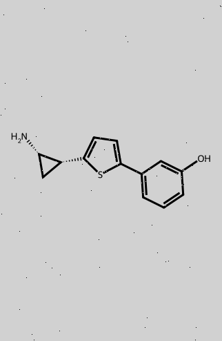 N[C@H]1C[C@H]1c1ccc(-c2cccc(O)c2)s1